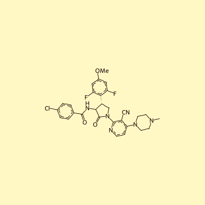 COc1cc(F)c([C@@H]2CN(c3nccc(N4CCN(C)CC4)c3C#N)C(=O)C2NC(=O)c2ccc(Cl)cc2)c(F)c1